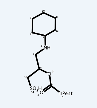 CCCCCC(=O)OC(CNC1CCCCC1)CS(=O)(=O)O